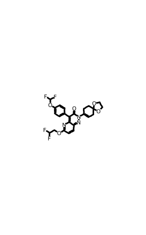 O=c1c(-c2ccc(OC(F)F)cc2)c2nc(OCC(F)F)ccc2nn1C1=CCC2(CC1)OCCO2